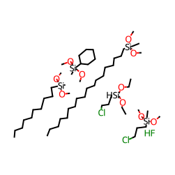 CCCCCCCCCCCCCCCCCC[Si](C)(OC)OC.CCCCCCCCCC[Si](C)(OC)OC.CCO[SiH](CCCCl)OCC.CO[Si](C)(CCCCl)OC.CO[Si](C)(OC)C1CCCCC1.F